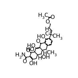 CC(=O)OCCCC(C)(C)c1ccc2c(c1O)C(=O)C1=C(O)[C@]3(O)C(=O)C(C(N)=O)=C(O)C[C@@H]3[C@@H](O)[C@@H]1[C@H]2C